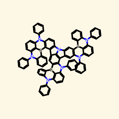 c1ccc(N2c3ccccc3B3c4cc5c(cc4N(c4ccccc4)c4cccc2c43)c2c3c(cc4c6c7c(ccc6n5c42)N(c2ccccc2)c2cccc4c2B7c2ccccc2N4c2ccccc2)B2c4ccccc4N(c4ccccc4)c4cccc(c42)N3c2ccccc2)cc1